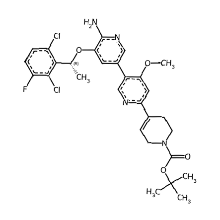 COc1cc(C2=CCN(C(=O)OC(C)(C)C)CC2)ncc1-c1cnc(N)c(O[C@H](C)c2c(Cl)ccc(F)c2Cl)c1